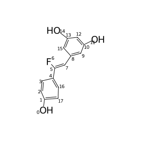 Oc1ccc(C(F)=Cc2cc(O)cc(O)c2)cc1